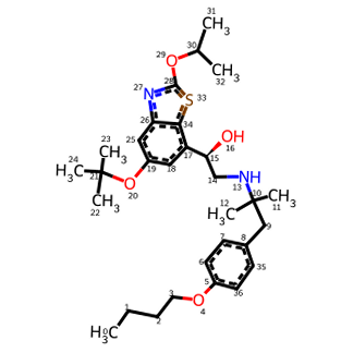 CCCCOc1ccc(CC(C)(C)NC[C@H](O)c2cc(OC(C)(C)C)cc3nc(OC(C)C)sc23)cc1